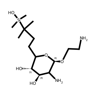 CC(C)(CCC1O[C@@H](OCCN)C(N)[C@@H](O)[C@@H]1O)[Si](C)(C)O